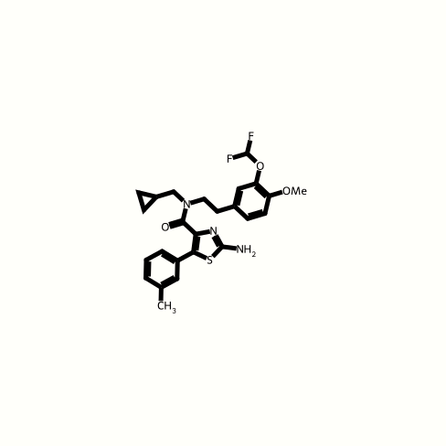 COc1ccc(CCN(CC2CC2)C(=O)c2nc(N)sc2-c2cccc(C)c2)cc1OC(F)F